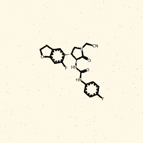 N#CCN1C[C@@H](c2cc3c(cc2F)OCC3)[C@H](NC(=O)Nc2ccc(F)cc2)C1=O